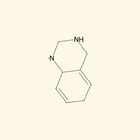 C1=CC2[N]CNCC2=CC1